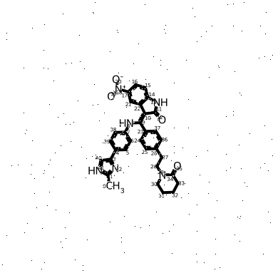 Cc1nc(-c2ccc(NC(=C3C(=O)Nc4ccc([N+](=O)[O-])cc43)c3ccc(CCN4CCCCC4=O)cc3)cc2)c[nH]1